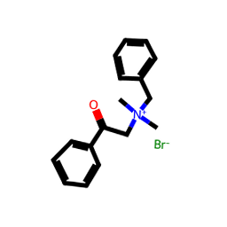 C[N+](C)(CC(=O)c1ccccc1)Cc1ccccc1.[Br-]